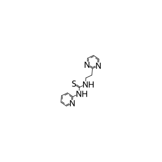 S=C(NCCc1ncccn1)Nc1ccccn1